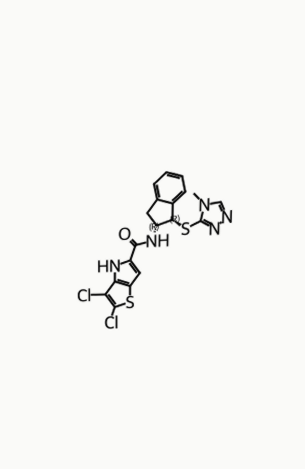 Cn1cnnc1S[C@@H]1c2ccccc2C[C@H]1NC(=O)c1cc2sc(Cl)c(Cl)c2[nH]1